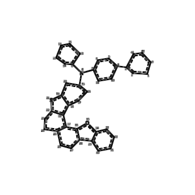 c1ccc(-c2ccc(N(c3ccccc3)c3ccc4c(c3)sc3ccc5ccc6c7ccccc7oc6c5c34)cc2)cc1